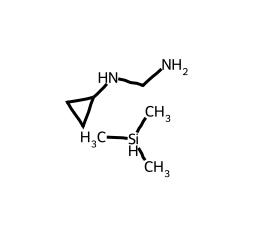 C[SiH](C)C.NCNC1CC1